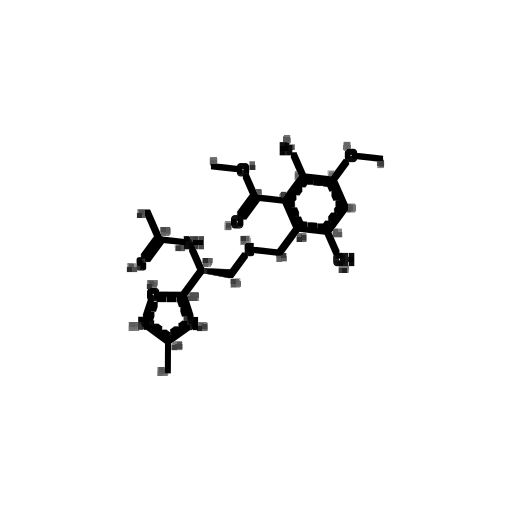 COC(=O)c1c(Br)c(OC)cc(O)c1CSC[C@H](NC(C)=S)c1nc(C)no1